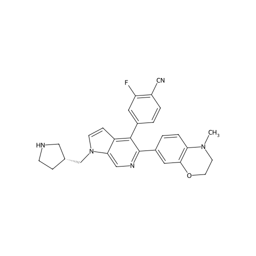 CN1CCOc2cc(-c3ncc4c(ccn4C[C@@H]4CCNC4)c3-c3ccc(C#N)c(F)c3)ccc21